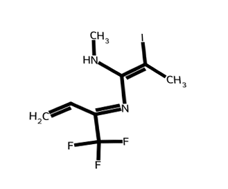 C=C/C(=N\C(NC)=C(/C)I)C(F)(F)F